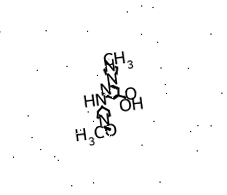 CC(=O)N1CCC(Nc2cc(C(=O)O)cc(N3CCN(C)CC3)n2)CC1